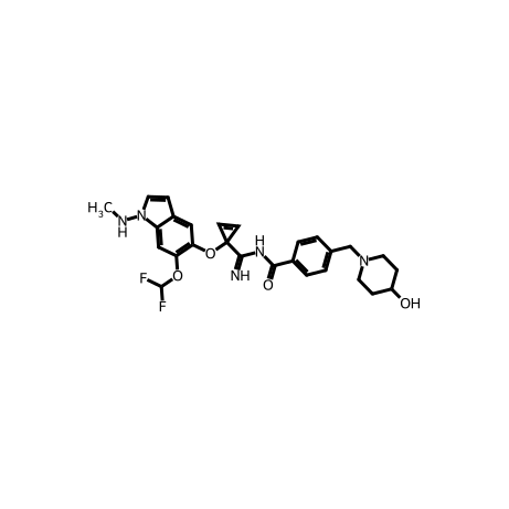 CNn1ccc2cc(OC3(C(=N)NC(=O)c4ccc(CN5CCC(O)CC5)cc4)C=C3)c(OC(F)F)cc21